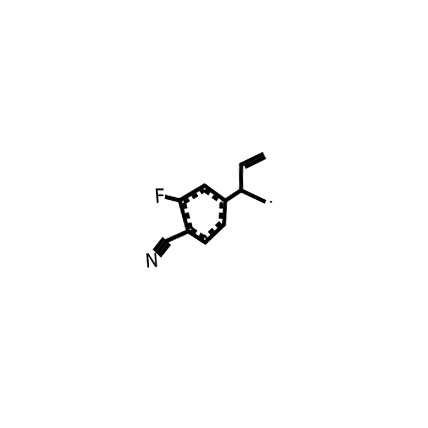 [CH2]C(C=C)c1ccc(C#N)c(F)c1